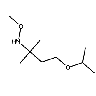 CONC(C)(C)CCOC(C)C